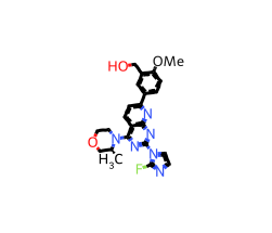 COc1ccc(-c2ccc3c(N4CCOC[C@@H]4C)nc(-n4ccnc4F)nc3n2)cc1CO